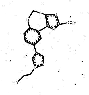 O=C(O)c1nc2c(s1)CCOc1ccc(-c3cnn(CCO)c3)cc1-2